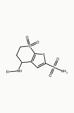 CCNC1CCS(=O)(=O)c2sc(S(N)(=O)=O)cc21